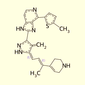 C=c1c(-c2nc3c(-c4ccc(C)s4)nccc3[nH]2)n[nH]/c1=C/C=C(\C)C1=CCNCC1